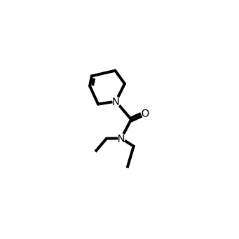 CCN(CC)C(=O)N1CC=CCC1